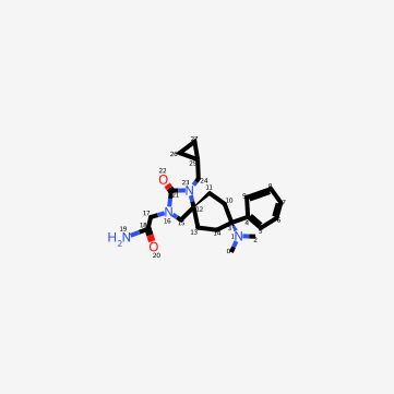 CN(C)[C@]1(c2ccccc2)CC[C@@]2(CC1)CN(CC(N)=O)C(=O)N2CC1CC1